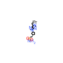 CC(C)Cc1ncnc2c1ncn2[C@H]1CC[C@@H](CCS(N)(=O)=O)C1